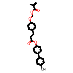 C=C(C)C(=O)OCOc1ccc(CCC(=O)Oc2ccc(-c3ccc(C#N)cc3)cc2)cc1